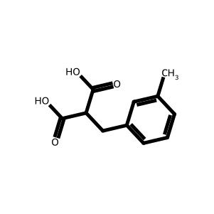 Cc1cccc(CC(C(=O)O)C(=O)O)c1